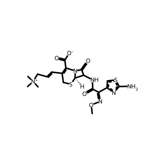 CO/N=C(\C(=O)NC1C(=O)N2C(C(=O)[O-])=C(/C=C/C[N+](C)(C)C)CS[C@H]12)c1csc(N)n1